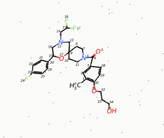 Cc1cc(C(=O)N2CCC3(CC2)CN(CC(F)F)CC(c2ccc(F)cc2)O3)ccc1OCCCO